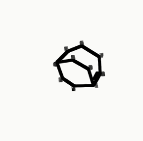 C1=C2CCC(CCC1)CC2